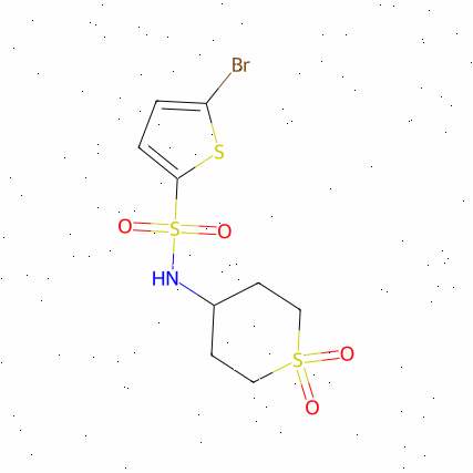 O=S1(=O)CCC(NS(=O)(=O)c2ccc(Br)s2)CC1